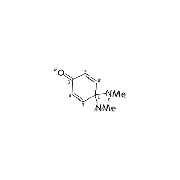 CNC1(NC)C=CC(=O)C=C1